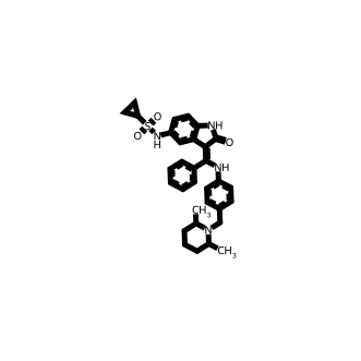 CC1CCCC(C)N1Cc1ccc(N/C(=C2\C(=O)Nc3ccc(NS(=O)(=O)C4CC4)cc32)c2ccccc2)cc1